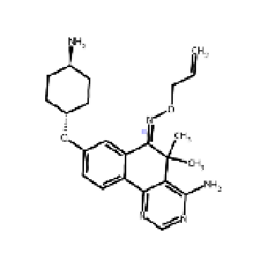 C=CCO/N=C1/c2cc(O[C@H]3CC[C@H](N)CC3)ccc2-c2ncnc(N)c2C1(C)C